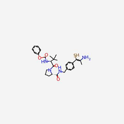 C/C(N)=C(/S)c1ccc(CNC(=O)[C@@H]2CCCN2C(=O)[C@@H](NC(=O)Oc2ccccc2)C(C)(C)C)cc1